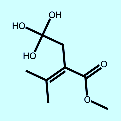 COC(=O)C(CC(O)(O)O)=C(C)C